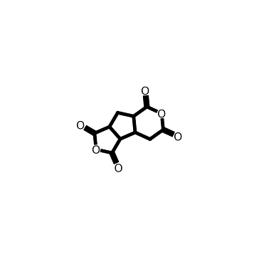 O=C1CC2C(CC3C(=O)OC(=O)C32)C(=O)O1